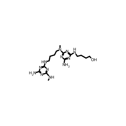 CNc1nc(N)nc(NCCCCN(C)c2nc(N)nc(NCCCCO)n2)n1